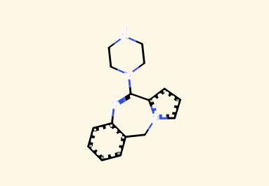 c1ccc2c(c1)Cn1cccc1C(N1CCNCC1)=N2